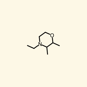 CCN1CCOC(C)C1C